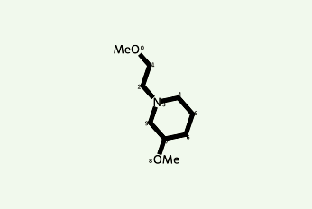 COCCN1CCCC(OC)C1